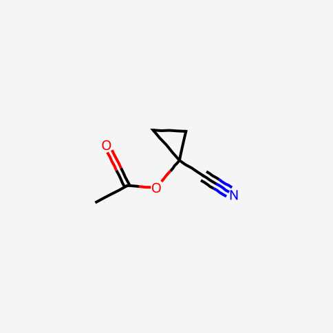 CC(=O)OC1(C#N)CC1